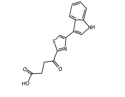 O=C(O)CCC(=O)c1nc(-c2c[nH]c3ccccc23)cs1